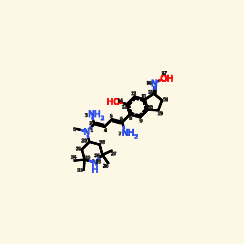 CN(/C(N)=C/C=C(\N)c1cc2c(cc1O)/C(=N/O)CC2)C1CC(C)(C)NC(C)(C)C1